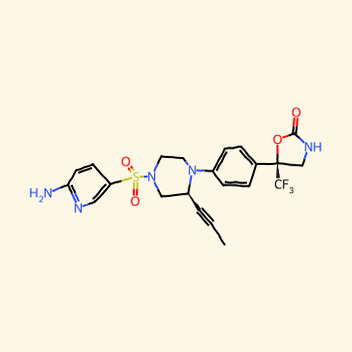 CC#C[C@H]1CN(S(=O)(=O)c2ccc(N)nc2)CCN1c1ccc([C@@]2(C(F)(F)F)CNC(=O)O2)cc1